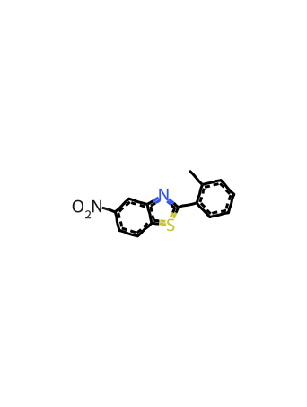 Cc1ccccc1-c1nc2cc([N+](=O)[O-])ccc2s1